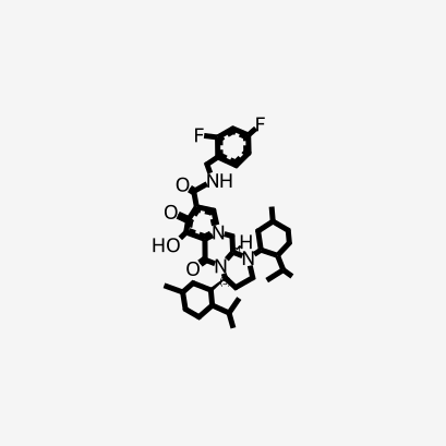 CC1CCC(C(C)C)C([C@@H]2CCN(C3CC(C)CCC3C(C)C)[C@@H]3Cn4cc(C(=O)NCc5ccc(F)cc5F)c(=O)c(O)c4C(=O)N23)C1